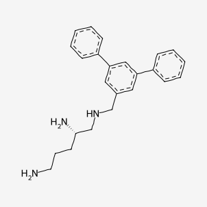 NCCC[C@H](N)CNCc1cc(-c2ccccc2)cc(-c2ccccc2)c1